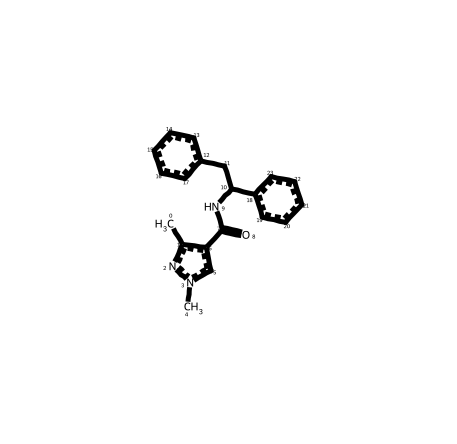 Cc1nn(C)cc1C(=O)NC(Cc1ccccc1)c1ccccc1